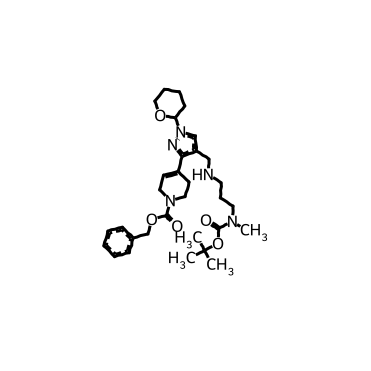 CN(CCCNCc1cn(C2CCCCO2)nc1C1=CCN(C(=O)OCc2ccccc2)CC1)C(=O)OC(C)(C)C